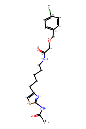 CC(=O)Nc1nc(CCCCCNC(=O)COCc2ccc(F)cc2)cs1